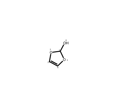 OC1O[C]=CO1